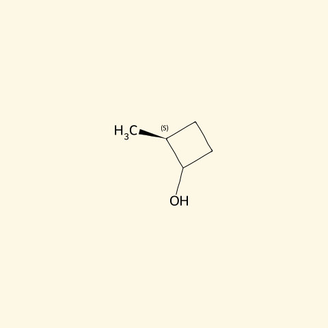 C[C@H]1CCC1O